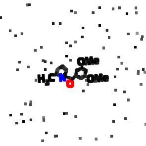 COc1cc(OC)cc(C(=O)c2cccc(C)n2)c1